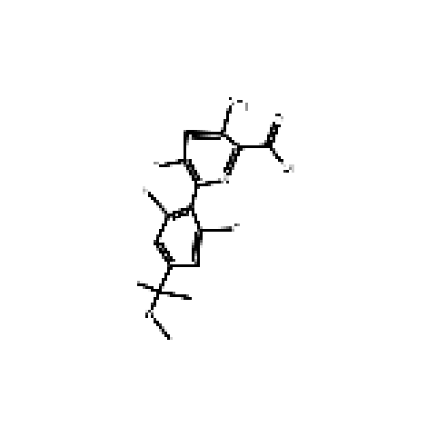 COC(C)(C)c1cc(F)c(-c2nc(C(=O)O)c(N)cc2F)c(F)c1